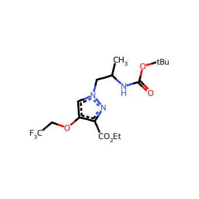 CCOC(=O)c1nn(CC(C)NC(=O)OC(C)(C)C)cc1OCC(F)(F)F